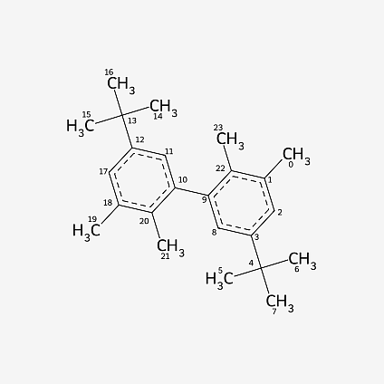 Cc1cc(C(C)(C)C)cc(-c2cc(C(C)(C)C)cc(C)c2C)c1C